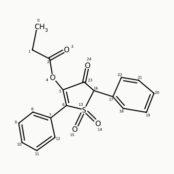 CCC(=O)OC1=C(c2ccccc2)S(=O)(=O)C(c2ccccc2)C1=O